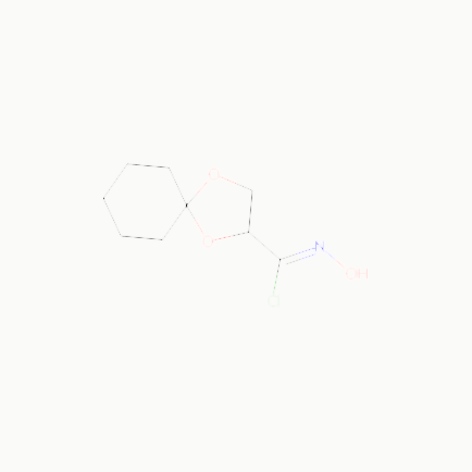 O/N=C(\Cl)C1COC2(CCCCC2)O1